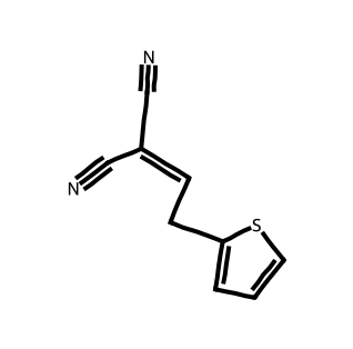 N#CC(C#N)=CCc1cccs1